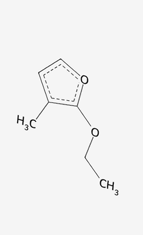 CCOc1occc1C